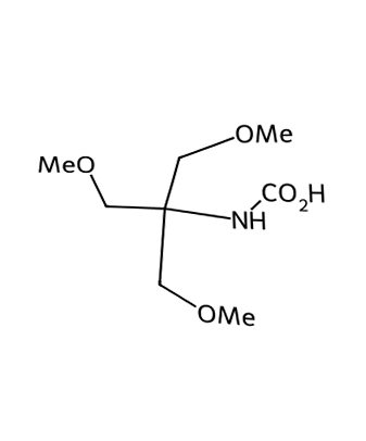 COCC(COC)(COC)NC(=O)O